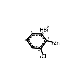 Br.Clc1cccc[c]1[Zn]